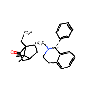 CC1(C)C2CCC1(CS(=O)(=O)O)C(=O)C2.O=C(O)N1CCc2ccccc2[C@H]1c1ccccc1